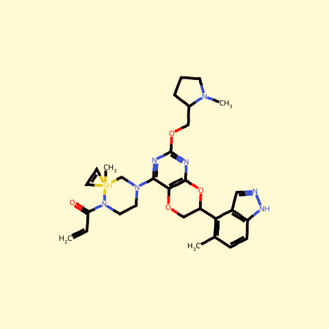 C=CC(=O)N1CCN(c2nc(OCC3CCCN3C)nc3c2OCC(c2c(C)ccc4[nH]ncc24)O3)C[SH]12(C)C=C2